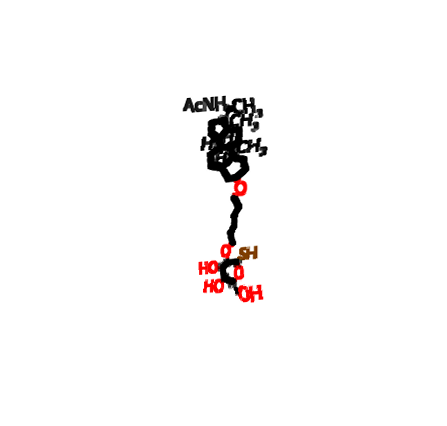 CC(=O)NC(C)[C@H]1CC[C@H]2[C@@H]3CC=C4CC(OCCCCCCO[C@H]5[C@@H](O)[C@H](O)[C@@H](CO)O[C@H]5S)CC[C@]4(C)[C@H]3CC[C@]12C